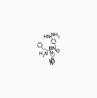 N=C(N)c1ccc(CNC(=O)[C@@H]2C[C@H](n3ccnn3)CN2C(=O)[C@H](N)CCc2ccccc2)cc1